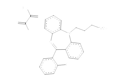 CNCCCN1c2ccccc2N=C(c2ccccc2F)c2ccccc21.O=C(O)C(=O)O